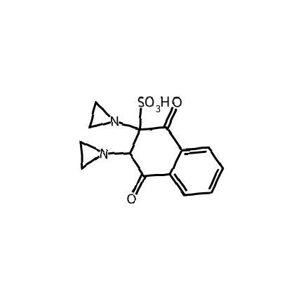 O=C1c2ccccc2C(=O)C(N2CC2)(S(=O)(=O)O)C1N1CC1